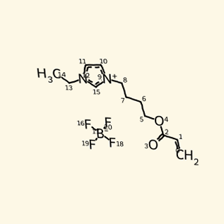 C=CC(=O)OCCCC[n+]1ccn(CC)c1.F[B-](F)(F)F